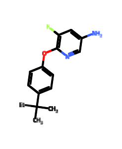 CCC(C)(C)c1ccc(Oc2ncc(N)cc2F)cc1